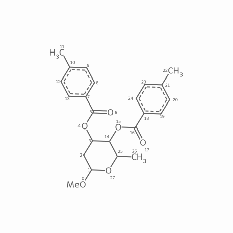 COC1CC(OC(=O)c2ccc(C)cc2)C(OC(=O)c2ccc(C)cc2)C(C)O1